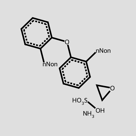 C1CO1.CCCCCCCCCc1ccccc1Oc1ccccc1CCCCCCCCC.N.O=S(=O)(O)O